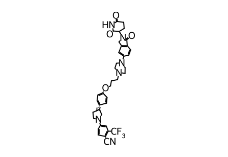 N#Cc1ccc(N2CC[C@H](c3ccc(OCCCN4CCN(c5ccc6c(c5)CN(C5CCC(=O)NC5=O)C6=O)CC4)cc3)C2)cc1C(F)(F)F